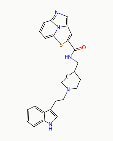 O=C(NCC1CCN(CCc2c[nH]c3ccccc23)CC1)C1=Cc2cnc3cccc(n23)S1